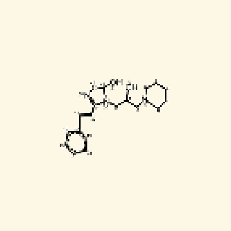 OC(CN1CCCCC1)CN1C(C=Cc2ccccc2)=NOC1O